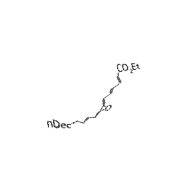 CCCCCCCCCCCC=CC=C1OC1=CC=CC=CC(=O)OCC